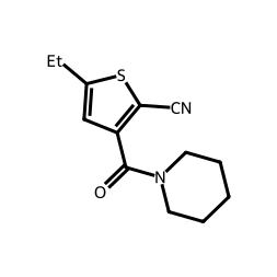 CCc1cc(C(=O)N2CCCCC2)c(C#N)s1